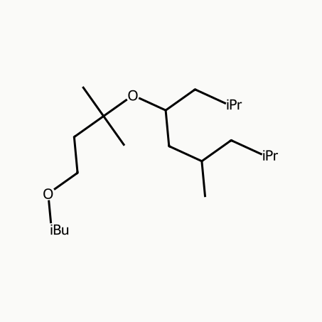 CCC(C)OCCC(C)(C)OC(CC(C)C)CC(C)CC(C)C